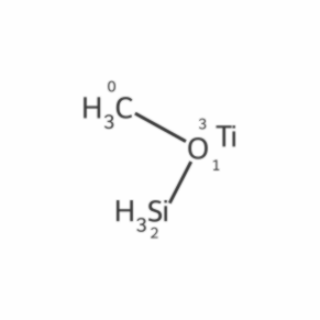 CO[SiH3].[Ti]